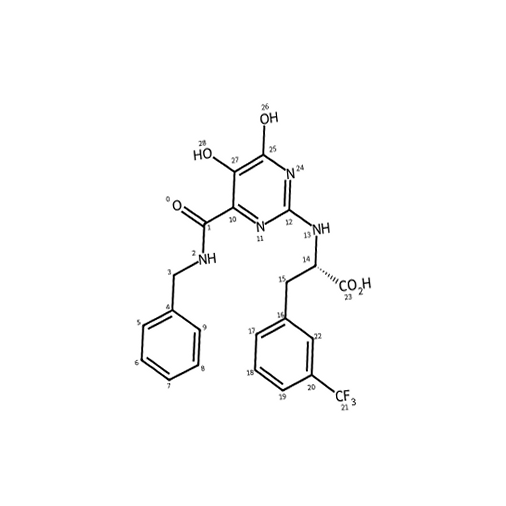 O=C(NCc1ccccc1)c1nc(N[C@@H](Cc2cccc(C(F)(F)F)c2)C(=O)O)nc(O)c1O